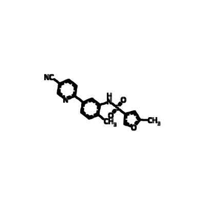 Cc1cc(S(=O)(=O)Nc2cc(-c3ccc(C#N)cn3)ccc2C)co1